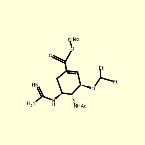 CCCCCCOC(=O)C1=C[C@@H](OC(CC)CC)[C@H](NC(C)=O)[C@@H](NC(=N)N)C1